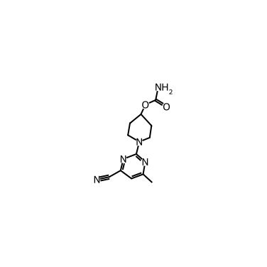 Cc1cc(C#N)nc(N2CCC(OC(N)=O)CC2)n1